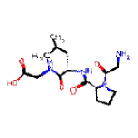 CC(C)C[C@H](NC(=O)[C@@H]1CCCN1C(=O)CN)C(=O)NCC(=O)O